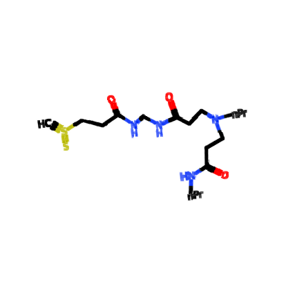 C#S(=S)CCC(=O)NCNC(=O)CCN(CCC)CCC(=O)NCCC